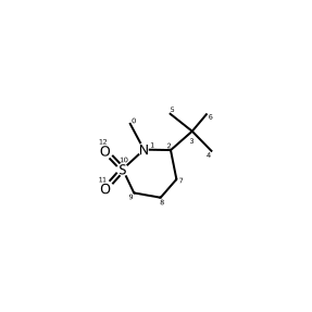 CN1C(C(C)(C)C)CCCS1(=O)=O